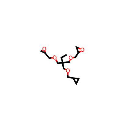 CCC(COCC1CC1)(COCC1CO1)COCC1CO1